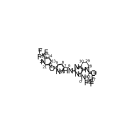 CN1c2nc(NCc3ccc(Oc4ccc(C(F)(F)F)nc4)nc3)nc3c2N(CCC3)C(=O)C1C(F)(F)F